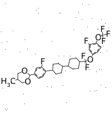 CC1COC(c2ccc(C3CCC(C4CCC(C(F)(F)Oc5ccc(OC(F)(F)F)c(F)c5)CC4)CC3)c(F)c2)OC1